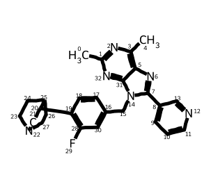 Cc1nc(C)c2nc(-c3cccnc3)n(Cc3ccc(C4CN5CCC4CC5)c(F)c3)c2n1